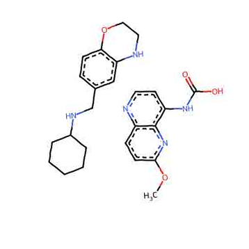 COc1ccc2nccc(NC(=O)O)c2n1.c1cc2c(cc1CNC1CCCCC1)NCCO2